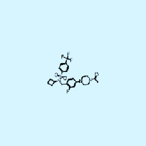 CC(=O)N1CCN(c2ccc(CN(C3CCC3)S(=O)(=O)c3ccc(C(F)(F)F)cc3)c(F)c2)CC1